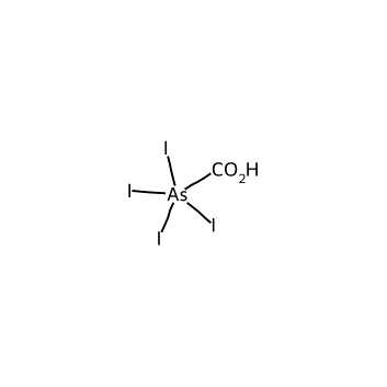 O=C(O)[As](I)(I)(I)I